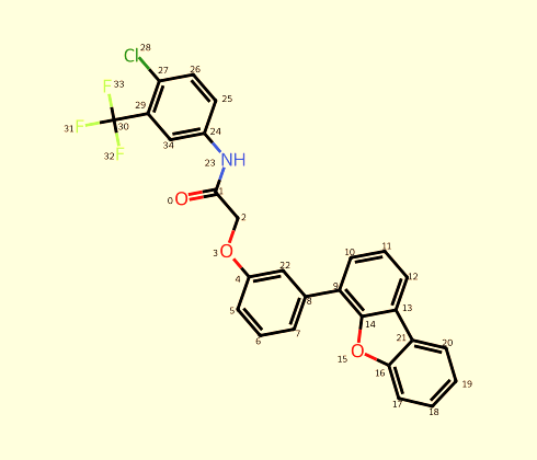 O=C(COc1cccc(-c2cccc3c2oc2ccccc23)c1)Nc1ccc(Cl)c(C(F)(F)F)c1